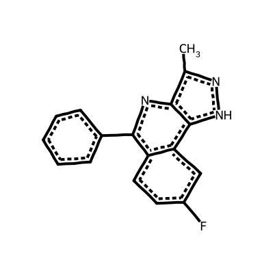 Cc1n[nH]c2c1nc(-c1ccccc1)c1ccc(F)cc12